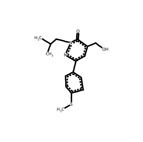 CSc1ccc(-c2cc(CO)c(=O)n(CC(C)C)n2)cc1